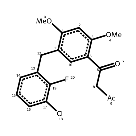 COc1cc(OC)c(C(=O)CC(C)=O)cc1Cc1cccc(Cl)c1F